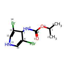 CC(C)OC(=O)N[C]1C(Br)=CNC=C1Br